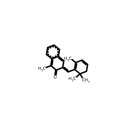 CC1=C(C=C2C=c3ccccc3=C(C)C2=O)C(C)(C)CC=C1